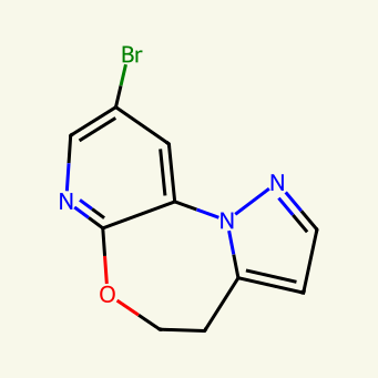 Brc1cnc2c(c1)-n1nccc1CCO2